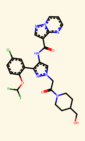 O=C(Nc1cn(CC(=O)N2CCC(CO)CC2)nc1-c1cc(Cl)ccc1OC(F)F)c1cnn2cccnc12